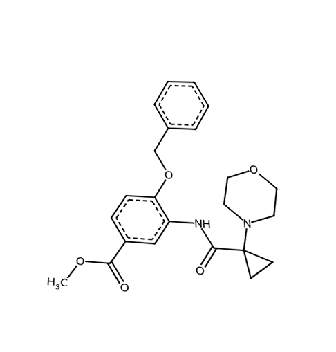 COC(=O)c1ccc(OCc2ccccc2)c(NC(=O)C2(N3CCOCC3)CC2)c1